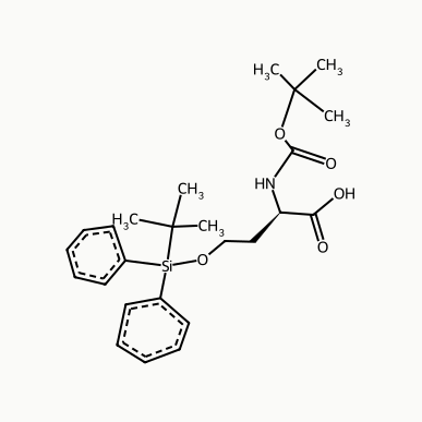 CC(C)(C)OC(=O)N[C@H](CCO[Si](c1ccccc1)(c1ccccc1)C(C)(C)C)C(=O)O